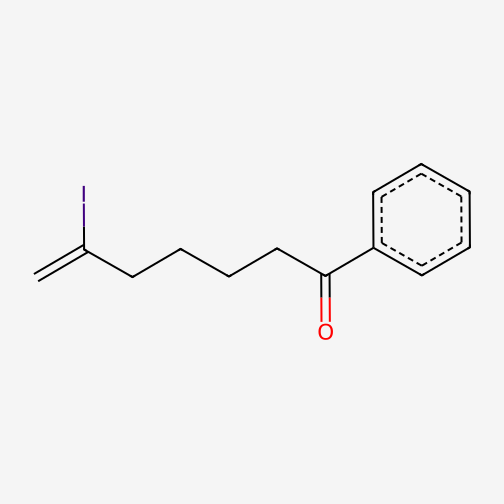 C=C(I)CCCCC(=O)c1ccccc1